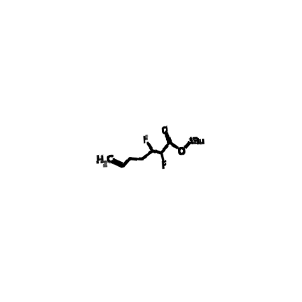 C=CCCC(F)C(F)C(=O)OC(C)(C)C